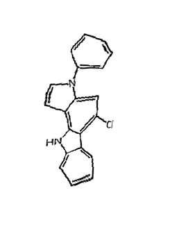 Clc1cc2c(ccn2-c2ccccc2)c2[nH]c3ccccc3c12